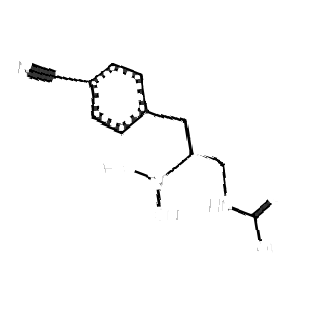 CN(C)[C@H](CNC(=O)O)Cc1ccc(C#N)cc1